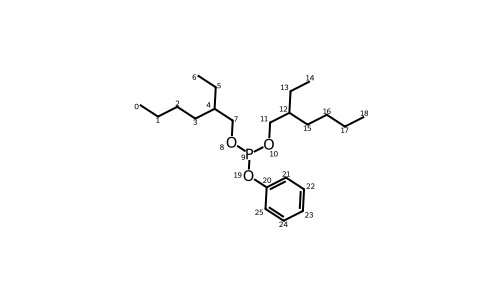 CCCCC(CC)COP(OCC(CC)CCCC)Oc1ccccc1